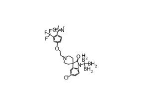 BC(B)(B)N1C(=O)C2(CCN(CCOc3ccc(S(C)(=O)=NC)c(C(F)(F)F)c3)CC2)c2cc(Cl)ccc21